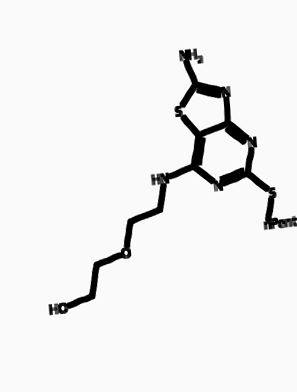 CCCCCSc1nc(NCCOCCO)c2sc(N)nc2n1